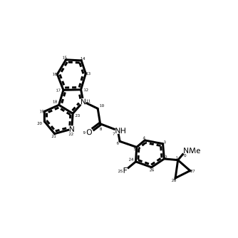 CNC1(c2ccc(CNC(=O)Cn3c4ccccc4c4cccnc43)c(F)c2)CC1